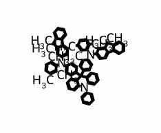 Cc1ccc(C)c(N(c2ccc(C3(c4ccc(N(c5ccc6c(c5)C(C)(C)c5ccccc5-6)c5c(C)ccc(C)c5C)cc4)c4ccccc4N(c4ccccc4)c4ccccc43)cc2)c2ccc3c(c2)C(C)(C)c2ccccc2-3)c1C